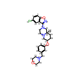 Fc1ccc2onc(N3CCN4C[C@H](Oc5cccc(CN6CCOCC6)c5)CC[C@H]4C3)c2c1